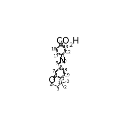 CC1(C)CCOc2cc(C=Nc3ccc(C(=O)O)cc3)ccc21